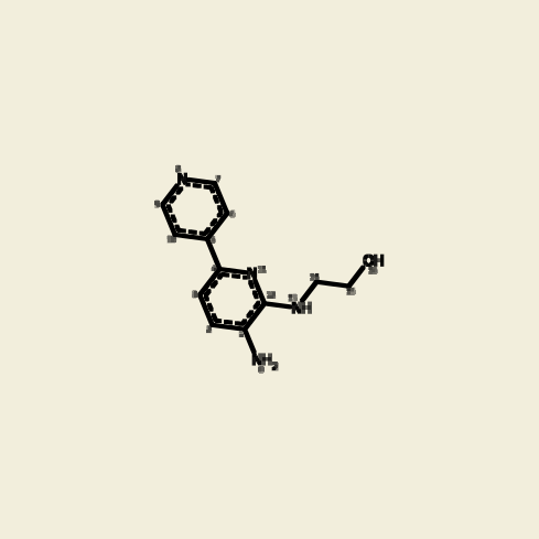 Nc1ccc(-c2ccncc2)nc1NCCO